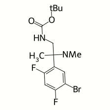 CNC(C)(CNC(=O)OC(C)(C)C)c1cc(Br)c(F)cc1F